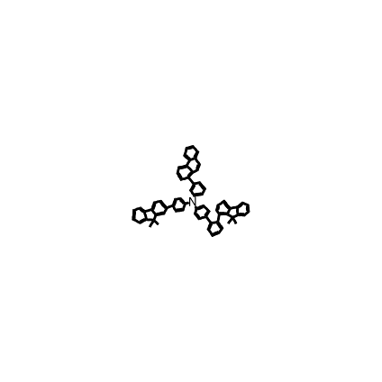 CC1(C)c2ccccc2-c2ccc(-c3ccc(N(c4ccc(-c5ccccc5-c5cccc6c5C(C)(C)c5ccccc5-6)cc4)c4cccc(-c5cccc6c5ccc5ccccc56)c4)cc3)cc21